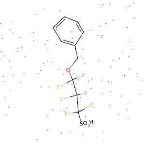 O=S(=O)(O)C(F)(F)C(F)(F)C(F)(F)OCc1ccccc1